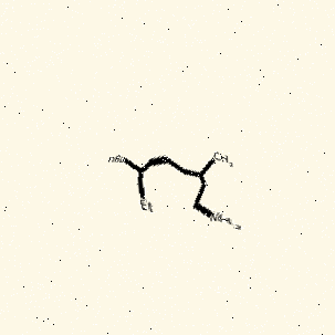 CCCCC(CC)CC(C)CN